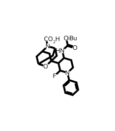 CC(C)COC(=O)NC1CCN(c2ccccc2)C(F)C1C12CC3CC(CC(C1)N3C(=O)O)O2